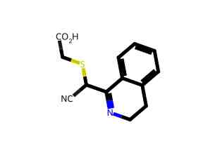 N#CC(SCC(=O)O)C1=NCCc2ccccc21